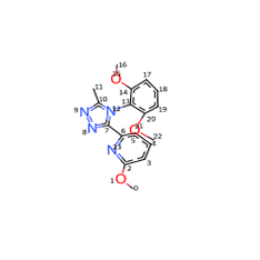 COc1cccc(-c2nnc(C)n2-c2c(OC)cccc2OC)n1